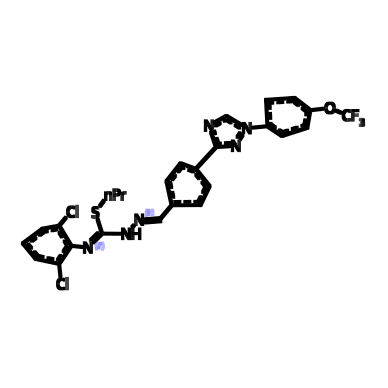 CCCS/C(=N\c1c(Cl)cccc1Cl)N/N=C/c1ccc(-c2ncn(-c3ccc(OC(F)(F)F)cc3)n2)cc1